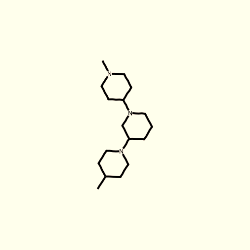 CC1CCN(C2CCCN(C3CCN(C)CC3)C2)CC1